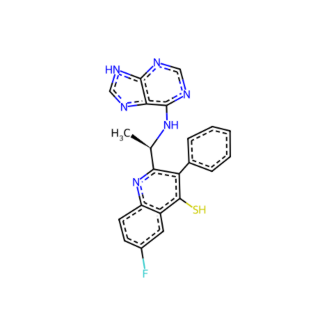 C[C@@H](Nc1ncnc2[nH]cnc12)c1nc2ccc(F)cc2c(S)c1-c1ccccc1